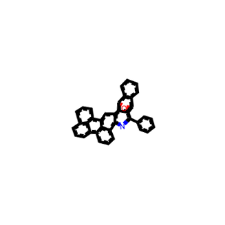 c1ccc(-c2nc3c4cccc5c6cccc7cccc(c(cc3c3c8oc(c9ccccc98)c23)c54)c76)cc1